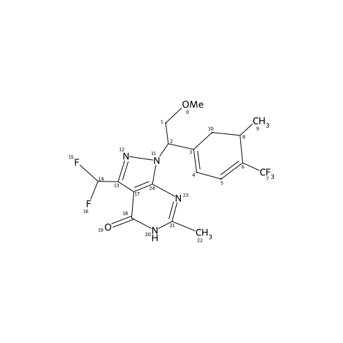 COCC(C1=CC=C(C(F)(F)F)C(C)C1)n1nc(C(F)F)c2c(=O)[nH]c(C)nc21